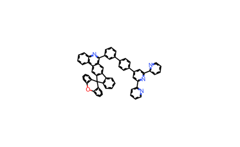 c1ccc(-c2cc(-c3ccc(-c4cccc(-c5nc6ccccc6c6cc7c(cc56)-c5ccccc5C75c6ccccc6Oc6ccccc65)c4)cc3)cc(-c3ccccn3)n2)nc1